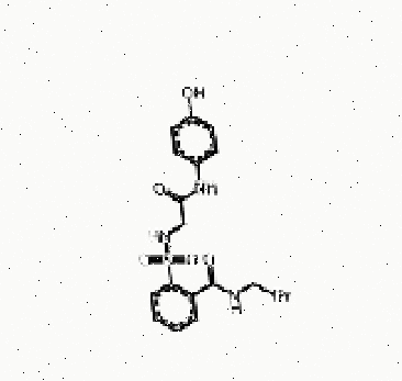 CC(C)CNC(=O)c1ccccc1S(=O)(=O)NCC(=O)Nc1ccc(O)cc1